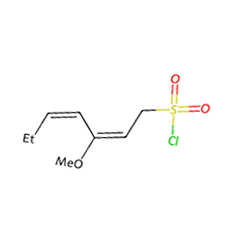 CC/C=C\C(=C/CS(=O)(=O)Cl)OC